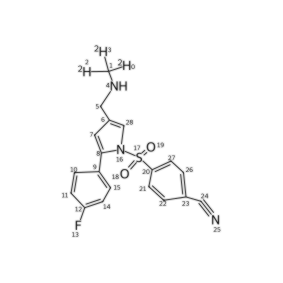 [2H]C([2H])([2H])NCc1cc(-c2ccc(F)cc2)n(S(=O)(=O)c2ccc(C#N)cc2)c1